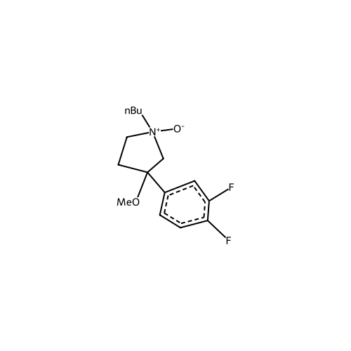 CCCC[N+]1([O-])CCC(OC)(c2ccc(F)c(F)c2)C1